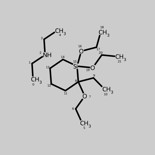 CCNCC.CCOC1(CC)CCCC[Si]1(OCC)OCC